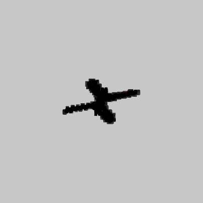 CCCCCCCCCCCCOc1cc(/C(C#N)=C/c2ccc3ccccc3c2)c(OCCCCCCCCCCCC)cc1/C(C#N)=C/c1ccc2ccccc2c1